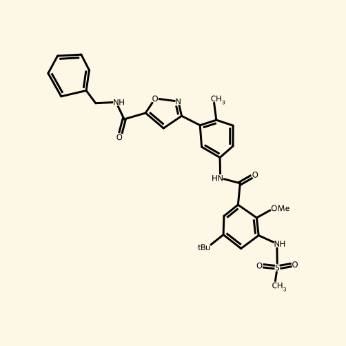 COc1c(NS(C)(=O)=O)cc(C(C)(C)C)cc1C(=O)Nc1ccc(C)c(-c2cc(C(=O)NCc3ccccc3)on2)c1